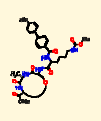 CCCCc1ccc(-c2ccc(C(=O)N[C@@H](CCCCNC(=O)OC(C)(C)C)C(=O)N[C@H]3COCCCCC[C@@H](C(=O)OC)NC(=O)[C@H](C)NC3=O)cc2)cc1